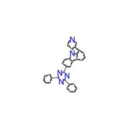 c1ccc(-c2nc(-c3ccccc3)nc(-c3ccc4c(c3)c3cccc5c6cnccc6n4c53)n2)cc1